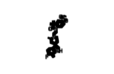 Cc1c(F)ccc2c([C@H]3CCN(CCN4C(=O)C(C)(C)c5cc(S(C)(=O)=O)ccc54)[C@H](C)C3)c[nH]c12